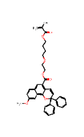 C=C(C)C(=O)OCCCCOCCOC(=O)c1cc2ccc(OC)cc2c2c1C=CC(c1ccccc1)(c1ccccc1)O2